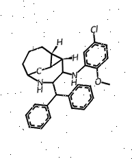 COc1ccc(Cl)cc1NC1C(C(c2ccccc2)c2ccccc2)NC2CCC[C@H]3C(C2)[C@@H]13